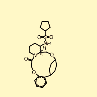 O=C1COc2ccccc2C2CCC(CC2)OC[C@H]2C(NS(=O)(=O)C3CCCC3)CCCN12